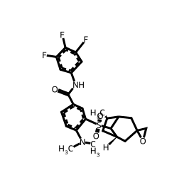 C[C@@H]1C[C@H]2CC3(CO3)CC1C2S(=O)(=O)c1cc(C(=O)Nc2cc(F)c(F)c(F)c2)ccc1N(C)C